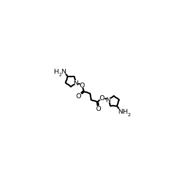 NC1CCN(OC(=O)CCC(=O)ON2CCC(N)C2)C1